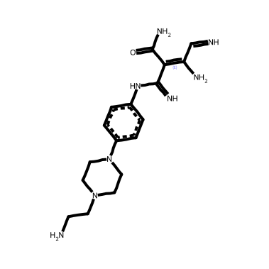 N=C/C(N)=C(/C(=N)Nc1ccc(N2CCN(CCN)CC2)cc1)C(N)=O